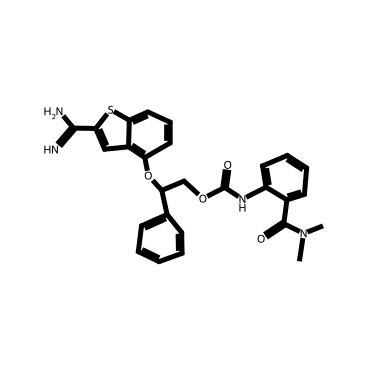 CN(C)C(=O)c1ccccc1NC(=O)OCC(Oc1cccc2sc(C(=N)N)cc12)c1ccccc1